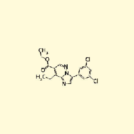 CCOC(=O)c1cnn2c(-c3cc(Cl)cc(Cl)c3)cnc2c1CC